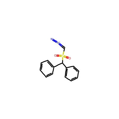 [N-]=[N+]=CS(=O)(=O)C(c1ccccc1)c1ccccc1